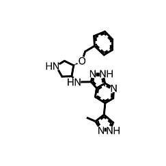 Cc1n[nH]cc1-c1cnc2[nH]nc(N[C@H]3CNC[C@@H]3OCc3ccccc3)c2c1